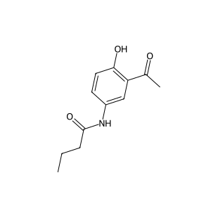 CCCC(=O)Nc1ccc(O)c(C(C)=O)c1